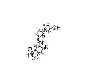 CN(Sc1ccc(N2CCC(O)C2)s1)c1cc2c(=O)[nH]ccc2cc1F